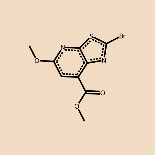 COC(=O)c1cc(OC)nc2sc(Br)nc12